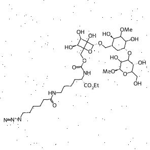 CCOC(=O)[C@H](CCCCNC(=O)CCCCCN=[N+]=[N-])NC(=O)OCC12O[C@@H](OCC3C[C@@H](OC4C(O)[C@H](OC)OC(CO)[C@H]4O)C(O)C(OC)[C@@H]3O)C1(O)C(O)[C@@H]2O